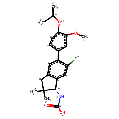 COc1cc(-c2cc3c(cc2F)[C@H](NC(=O)O)C(C)(C)C3)ccc1OC(C)C